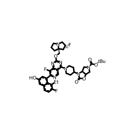 CCc1c(F)ccc2cc(O)cc(-c3ncc4c(N5CCC(N6C(=O)OC7CN(C(=O)OC(C)(C)C)CC76)CC5)nc(OC[C@@]56CCCN5C[C@H](F)C6)nc4c3F)c12